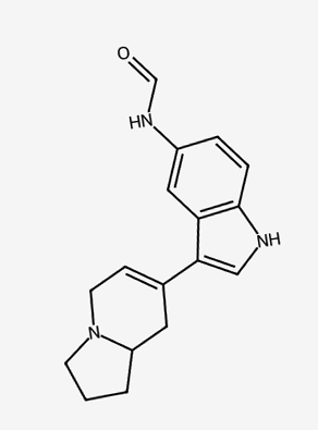 O=CNc1ccc2[nH]cc(C3=CCN4CCCC4C3)c2c1